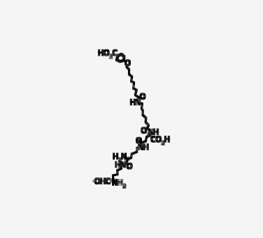 N[C@H]([C]=O)CCCCNC(=O)[C@@H](N)CCCCNC(=O)CC[C@H](NC(=O)CCCCCCCNC(=O)CCCCCCCCCOc1ccc(C(=O)O)cc1)C(=O)O